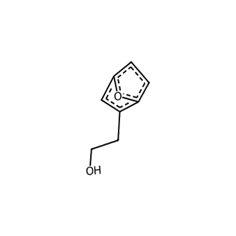 OCCc1cc2ccc1o2